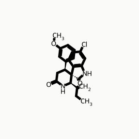 C=C(CC)[C@H]1NC(=O)C[C@@H](c2cccc(OC)c2)[C@]12C(=O)Nc1cc(Cl)ccc12